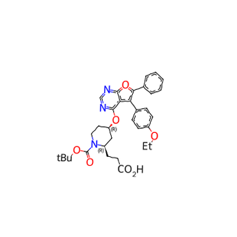 CCOc1ccc(-c2c(-c3ccccc3)oc3ncnc(O[C@@H]4CCN(C(=O)OC(C)(C)C)[C@H](CCC(=O)O)C4)c23)cc1